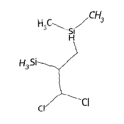 C[SiH](C)CC([SiH3])C(Cl)Cl